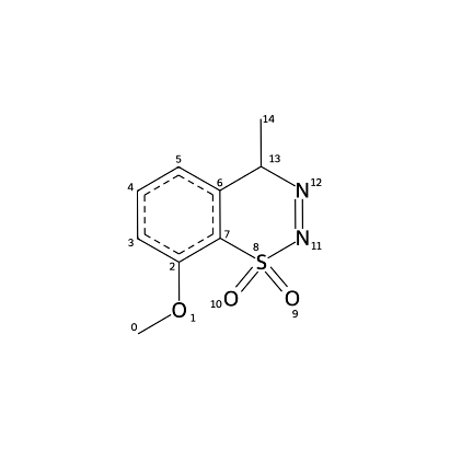 COc1cccc2c1S(=O)(=O)N=NC2C